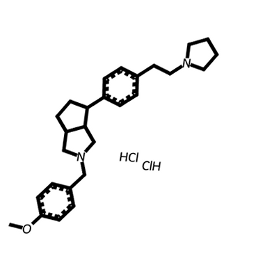 COc1ccc(CN2CC3CCC(c4ccc(CCN5CCCC5)cc4)C3C2)cc1.Cl.Cl